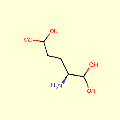 N[C@@H](CCC(O)O)C(O)O